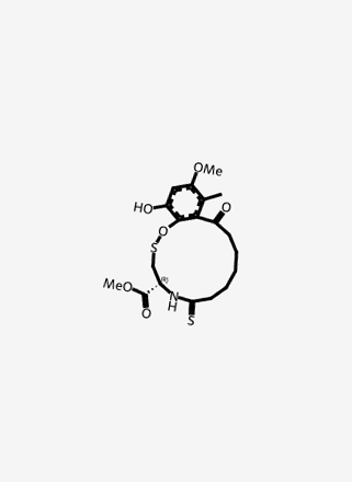 COC(=O)[C@@H]1CSOc2c(O)cc(OC)c(C)c2C(=O)CCCCCC(=S)N1